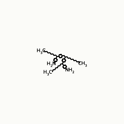 CCCCCCCCCCC(Cc1ccc(C(CCCCCCCCC)c2ccc(N)cc2)cc1)c1ccc(C(CCCCCCCCC)c2ccc(N)cc2)cc1